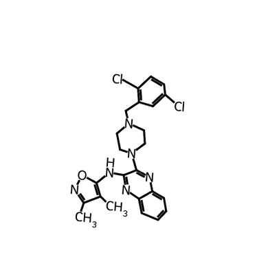 Cc1noc(Nc2nc3ccccc3nc2N2CCN(Cc3cc(Cl)ccc3Cl)CC2)c1C